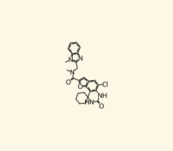 CN(Cc1nc2ccccc2n1C)C(=O)c1cc2cc(Cl)c3c(c2o1)C1(CCCCC1)NC(=O)N3